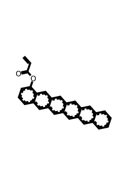 C=CC(=O)Oc1cccc2cc3cc4cc5cc6ccccc6cc5cc4cc3cc12